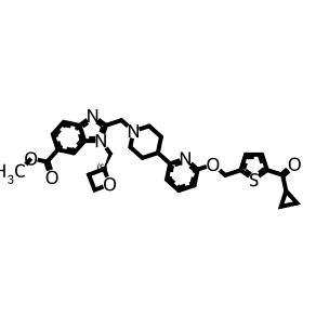 COC(=O)c1ccc2nc(CN3CCC(c4cccc(OCc5ccc(C(=O)C6CC6)s5)n4)CC3)n(C[C@@H]3CCO3)c2c1